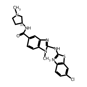 CN1CC[C@H](NC(=O)c2ccc3c(c2)nc(Nc2nc4ccc(Cl)cc4s2)n3C)C1